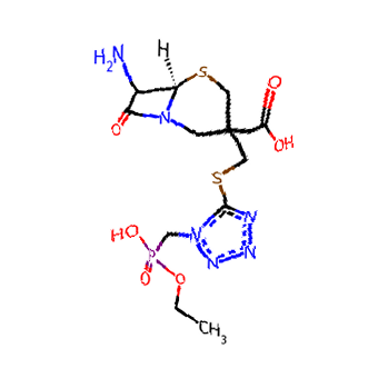 CCOP(=O)(O)Cn1nnnc1SCC1(C(=O)O)CS[C@@H]2C(N)C(=O)N2C1